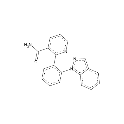 NC(=O)c1cccnc1-c1ccccc1-n1ncc2ccccc21